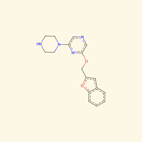 c1ccc2oc(COc3cncc(N4CCNCC4)n3)cc2c1